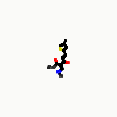 CCNC=C(C(=O)C=Cc1cc(C)cs1)C(=O)OC